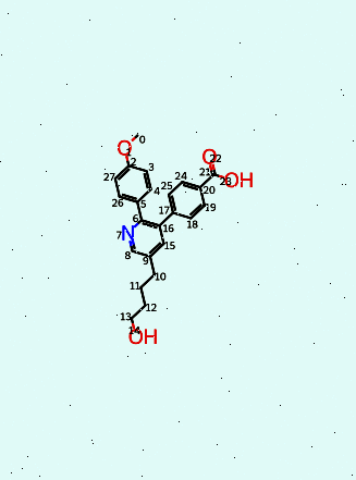 COc1ccc(-c2ncc(CCCCO)cc2-c2ccc(C(=O)O)cc2)cc1